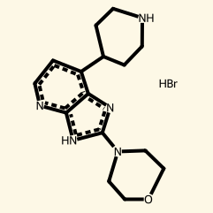 Br.c1cc(C2CCNCC2)c2nc(N3CCOCC3)[nH]c2n1